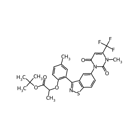 Cc1ccc(OC(C)C(=O)OC(C)(C)C)c(-c2nsc3ccc(-n4c(=O)cc(C(F)(F)F)n(C)c4=O)cc23)c1